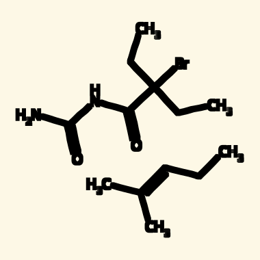 CCC(Br)(CC)C(=O)NC(N)=O.CCC=C(C)C